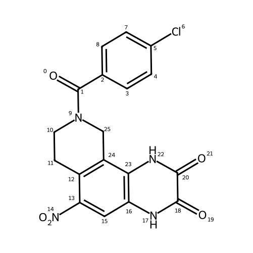 O=C(c1ccc(Cl)cc1)N1CCc2c([N+](=O)[O-])cc3[nH]c(=O)c(=O)[nH]c3c2C1